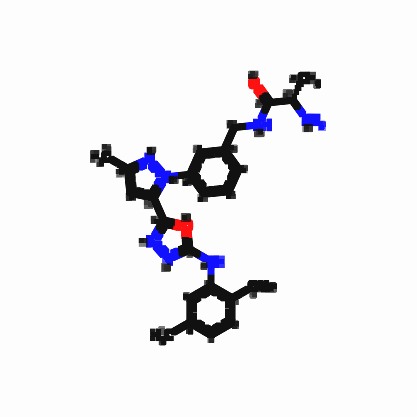 COc1ccc(C)cc1Nc1nnc(-c2cc(C(F)(F)F)nn2-c2cccc(CNC(=O)[C@H](C)N)c2)o1